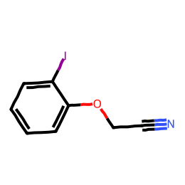 N#CCOc1ccccc1I